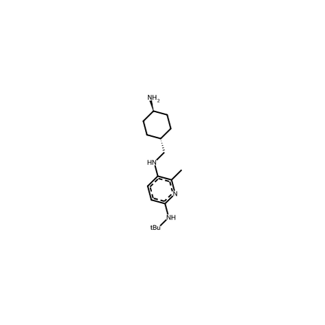 Cc1nc(NC(C)(C)C)ccc1NC[C@H]1CC[C@H](N)CC1